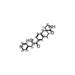 O=C(c1ccc2c(c1)CC[C@]1(CCNC1=O)C2)N(O)Cc1ccncc1